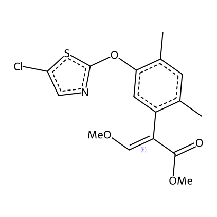 CO/C=C(/C(=O)OC)c1cc(Oc2ncc(Cl)s2)c(C)cc1C